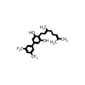 CC(C)=CCC/C(C)=C/Cc1c(O)cc(-c2cc(C(F)(F)F)cc(C(F)(F)F)c2)cc1O